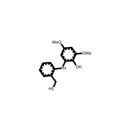 COc1cc(OC)c(O)c(Pc2ccccc2CS)c1